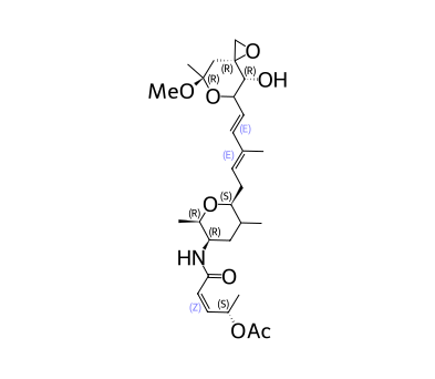 CO[C@@]1(C)C[C@@]2(CO2)[C@H](O)C(/C=C/C(C)=C/C[C@@H]2O[C@H](C)[C@H](NC(=O)/C=C\[C@H](C)OC(C)=O)CC2C)O1